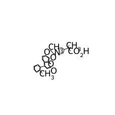 Cc1ccccc1-c1cc(=O)oc2cc(OC(C)C(=O)N3CCC(C(C)C(=O)O)CC3)ccc12